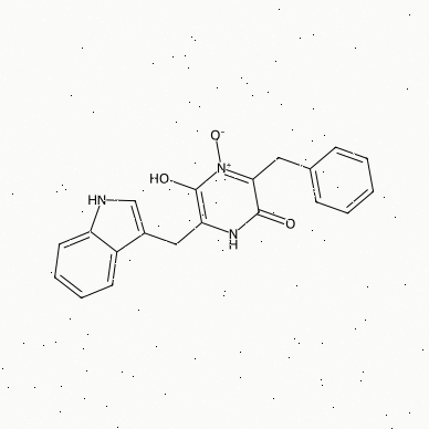 O=c1[nH]c(Cc2c[nH]c3ccccc23)c(O)[n+]([O-])c1Cc1ccccc1